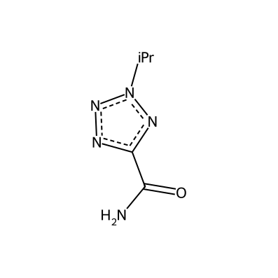 CC(C)n1nnc(C(N)=O)n1